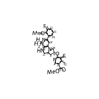 COC(=O)c1cnc(OC2CC3CNC(N)=C(/C=C(\N)c4cccc(F)c4OC)N3C2)c(F)c1C